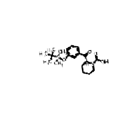 CC(C)(C)[Si](C)(C)Oc1cccc(C(=O)[C@@H]2CCCCN2C(=O)O)c1